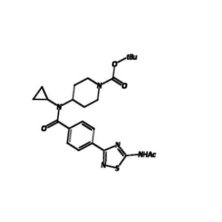 CC(=O)Nc1nc(-c2ccc(C(=O)N(C3CC3)C3CCN(C(=O)OC(C)(C)C)CC3)cc2)ns1